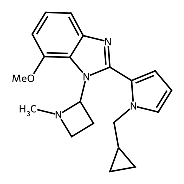 COc1cccc2nc(-c3cccn3CC3CC3)n(C3CCN3C)c12